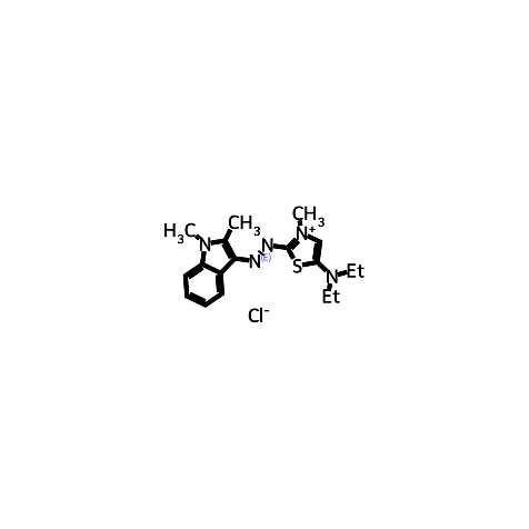 CCN(CC)c1c[n+](C)c(/N=N/c2c(C)n(C)c3ccccc23)s1.[Cl-]